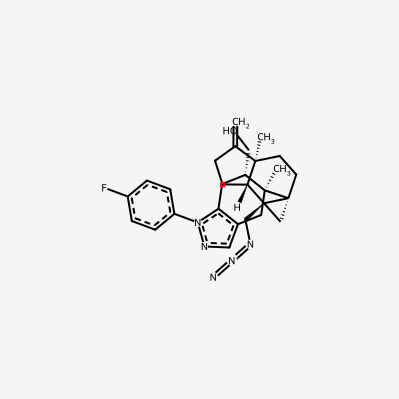 C=C1CC[C@H]2[C@@]3(CN=[N+]=[N-])C[C@]3([C@@]3(C)Cc4cnn(-c5ccc(F)cc5)c4C[C@@H]3CO)CC[C@]12C